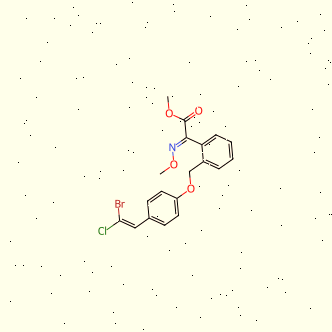 CO/N=C(/C(=O)OC)c1ccccc1COc1ccc(C=C(Cl)Br)cc1